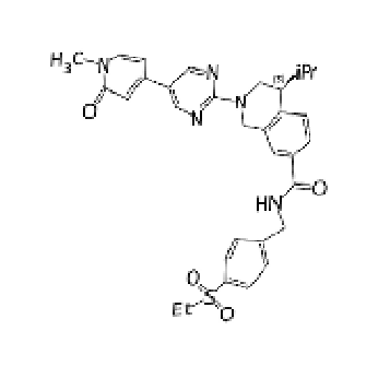 CCS(=O)(=O)c1ccc(CNC(=O)c2ccc3c(c2)CN(c2ncc(-c4ccn(C)c(=O)c4)cn2)C[C@H]3C(C)C)cc1